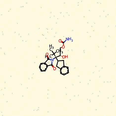 CC(C)(C)[C@](C1Cc2ccccc2C1)([C@@H](O)COC(N)=O)N1C(=O)c2ccccc2C1=O